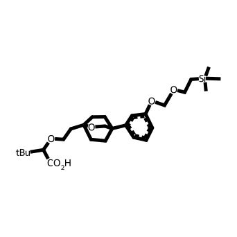 CC(C)(C)C(OCCC12CCC(c3cccc(OCOCC[Si](C)(C)C)c3)(CC1)CO2)C(=O)O